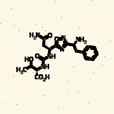 CC(O)[C@H](NC(=O)N[C@@H](CC(N)=O)c1nc([C@@H](N)Cc2ccccc2)no1)C(=O)O